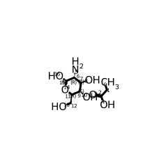 CCC(=O)O.N[C@@H]1[C@@H](O)[C@H](O)[C@@H](CO)O[C@H]1O